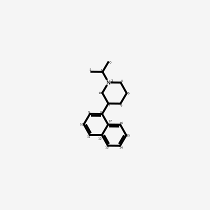 CC(C)N1CCCC(c2cccc3ccccc23)C1